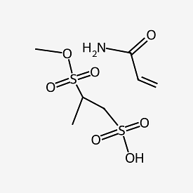 C=CC(N)=O.COS(=O)(=O)C(C)CS(=O)(=O)O